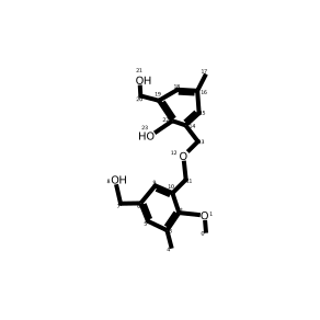 COc1c(C)cc(CO)cc1COCc1cc(C)cc(CO)c1O